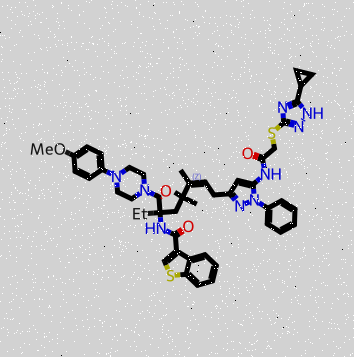 CCC(CC(C)(C)/C(C)=C\Cc1cc(NC(=O)CSc2n[nH]c(C3CC3)n2)n(-c2ccccc2)n1)(NC(=O)c1csc2ccccc12)C(=O)N1CCN(c2ccc(OC)cc2)CC1